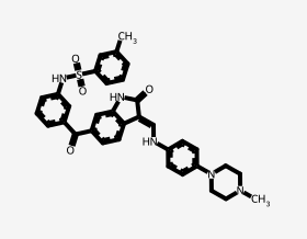 Cc1cccc(S(=O)(=O)Nc2cccc(C(=O)c3ccc4c(c3)NC(=O)/C4=C/Nc3ccc(N4CCN(C)CC4)cc3)c2)c1